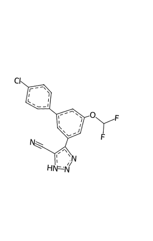 N#Cc1[nH]nnc1-c1cc(OC(F)F)cc(-c2ccc(Cl)cc2)c1